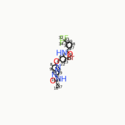 O=C(Nc1cc(Oc2ccc3nc(NC(=O)C4CC4)cn3n2)ccc1Br)c1cccc(C(F)(F)F)c1